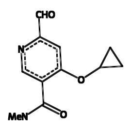 CNC(=O)c1cnc(C=O)cc1OC1CC1